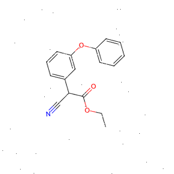 CCOC(=O)C(C#N)c1cccc(Oc2ccccc2)c1